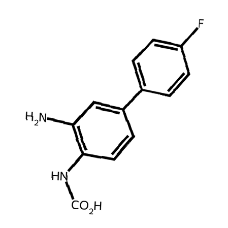 Nc1cc(-c2ccc(F)cc2)ccc1NC(=O)O